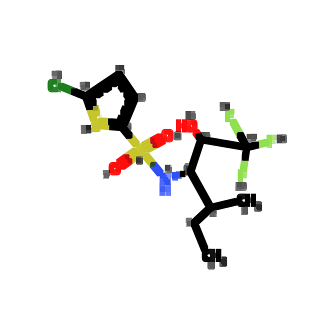 CCC(C)[C@H](NS(=O)(=O)c1ccc(Cl)s1)C(O)C(F)(F)F